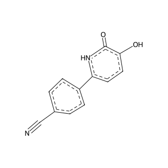 N#Cc1ccc(-c2ccc(O)c(=O)[nH]2)cc1